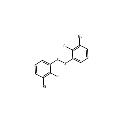 CCc1cccc(SSc2cccc(CC)c2F)c1F